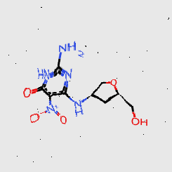 Nc1nc(N[C@H]2CO[C@@H](CO)C2)c([N+](=O)[O-])c(=O)[nH]1